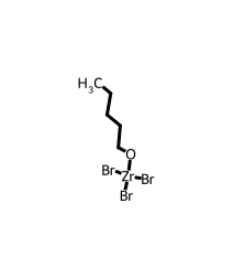 CCCCC[O][Zr]([Br])([Br])[Br]